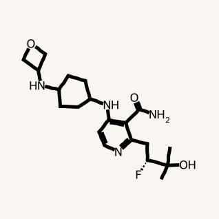 CC(C)(O)[C@H](F)Cc1nccc(NC2CCC(NC3COC3)CC2)c1C(N)=O